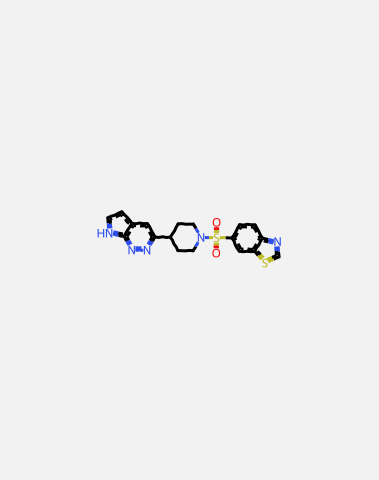 O=S(=O)(c1ccc2ncsc2c1)N1CCC(c2cc3cc[nH]c3nn2)CC1